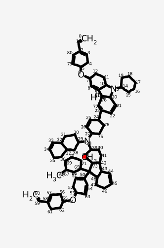 C=CC1=CCC(OC2C=C3C(CC2)N(C2CCCCC2)C2C=CC(C4C=CC(N(C5CCC6C=CCCC6C5)C5CCC6C7C=CCCC7C(C7=CCC(OC8CC=C(C=C)CC8)C=C7)(C7CC(C)CCC7C)C6C5)CC4)=C[C@@H]32)C=C1